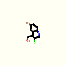 OCc1c(Cl)cnc2ccc(Br)cc12